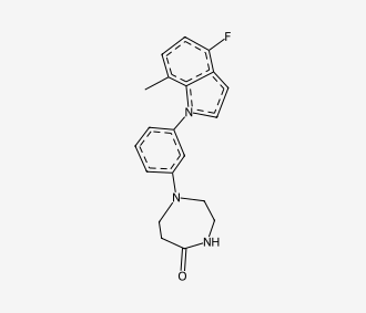 Cc1ccc(F)c2ccn(-c3cccc(N4CCNC(=O)CC4)c3)c12